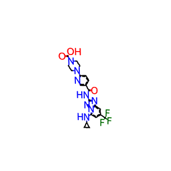 O=C(Nc1nc2cc(C(F)(F)F)cc(NC3CC3)n2n1)c1ccc(N2CCN(C(=O)O)CC2)nc1